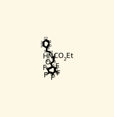 CCOC(=O)/C(=C/C(=O)c1c(F)c(F)c(F)c(F)c1F)NCCc1ccccc1